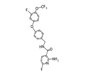 Nc1nc(F)ccc1C(=O)NCc1ccc(Oc2ccc(OC(F)(F)F)c(F)c2)cc1